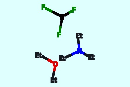 CCN(CC)CC.CCOCC.FB(F)F